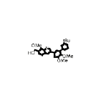 COc1cc(-c2cnc3c(OC)c(CO)ccc3c2)cc(-c2cccc(C(C)(C)C)c2)c1OC